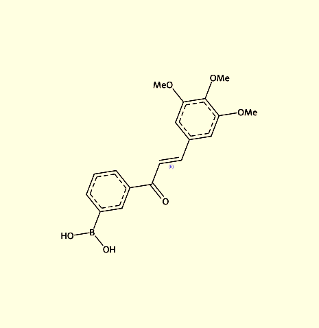 COc1cc(/C=C/C(=O)c2cccc(B(O)O)c2)cc(OC)c1OC